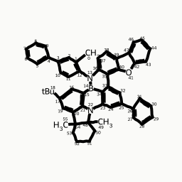 Cc1cc(-c2ccccc2)ccc1N1B2c3cc(C(C)(C)C)cc4c3N(c3cc(-c5ccccc5)cc(c32)-c2c1ccc1c2oc2ccccc21)C1(C)CCCCC41C